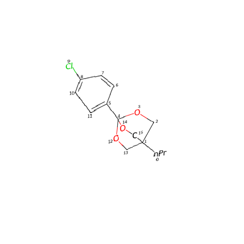 CCCC12COC(c3ccc(Cl)cc3)(OC1)OC2